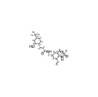 C=Cc1cc(CNC(=O)/C=C/c2ccc(C(C)(C)C)cc2O)cc(F)c1NS(C)(=O)=O